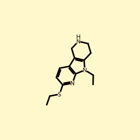 CCSc1ccc2c3c(n(CC)c2n1)CCNC3